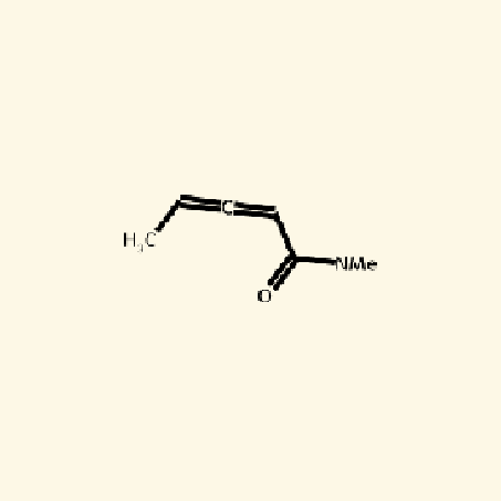 CC=C=CC(=O)NC